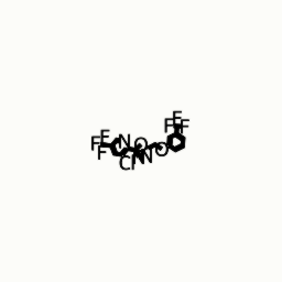 FC(F)(F)c1cccc(OCc2nnc(-c3ncc(C(F)(F)F)cc3Cl)o2)c1